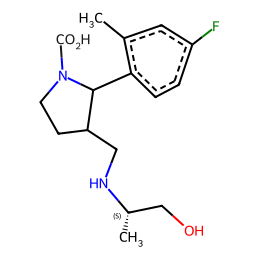 Cc1cc(F)ccc1C1C(CN[C@@H](C)CO)CCN1C(=O)O